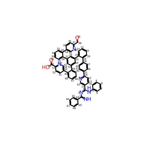 N=C(/N=C(\Nc1ccccc1)c1ccc(-c2ccc(-c3ccccc3-c3cc(-c4ccccc4-c4ccc(C=O)nc4)cc(-c4ccccc4-c4ccc(C(=O)O)nc4)c3)cc2)nc1)c1ccccc1